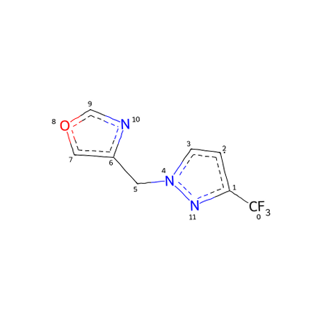 FC(F)(F)c1[c]cn(Cc2cocn2)n1